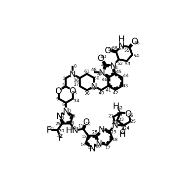 CN(CC1OCC(n2cc(NC(=O)c3cnn4ccc(N5C[C@H]6C[C@@H]5CO6)nc34)c(C(F)F)n2)CO1)C1CCN(Cc2cccc3c2n(C)c(=O)n3C2CCC(=O)NC2=O)CC1